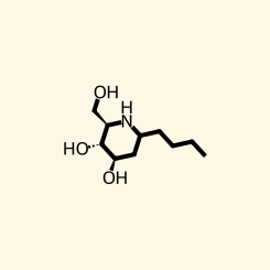 CCCCC1C[C@@H](O)[C@H](O)[C@@H](CO)N1